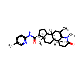 CC1=C2N(C)C(=O)CC[C@]2(C)[C@H]2CC[C@]3(C)[C@@H](C(=O)Nc4ccc(C)cn4)CC[C@H]3[C@@H]2C1